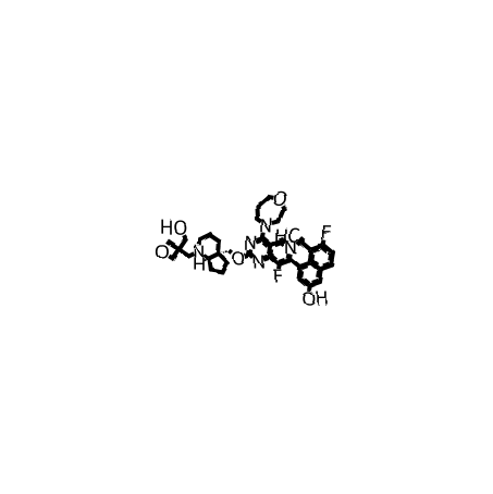 C#Cc1c(F)ccc2cc(O)cc(-c3ncc4c(N5CCCOCC5)nc(OC[C@]56CCC[C@H]5N(CC5(CO)COC5)CCC6)nc4c3F)c12